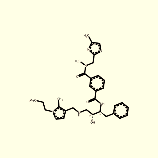 COCCn1ncc(CNC[C@@H](O)[C@H](Cc2ccccc2)NC(=O)c2cccc(C(=O)N(C)Cc3nc(C)cs3)c2)c1C